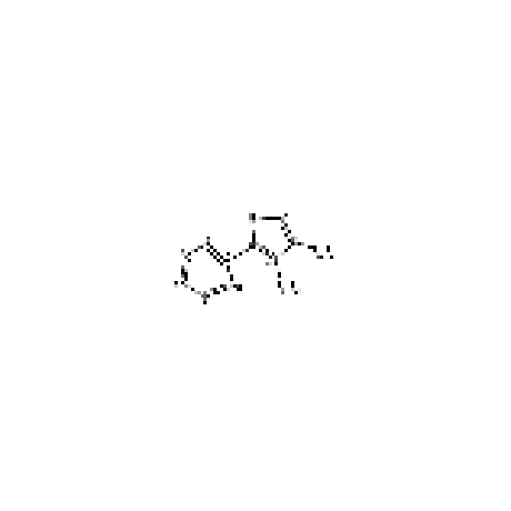 Cc1c[pH]c(-c2ccccc2)c1C